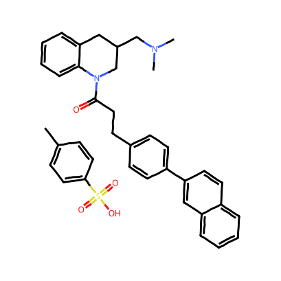 CN(C)CC1Cc2ccccc2N(C(=O)CCc2ccc(-c3ccc4ccccc4c3)cc2)C1.Cc1ccc(S(=O)(=O)O)cc1